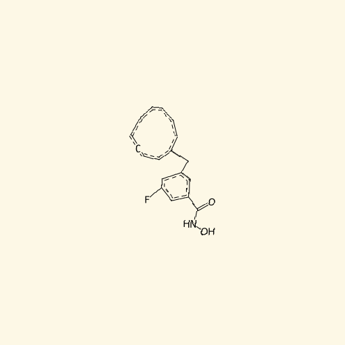 O=C(NO)c1cc(F)cc(Cc2ccccccccc2)c1